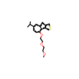 COCCOCCOc1ccc(C(C)C)cc2cc3cscc3c1-2